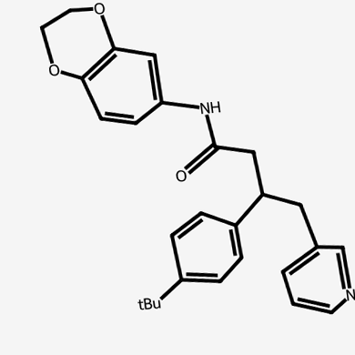 CC(C)(C)c1ccc(C(CC(=O)Nc2ccc3c(c2)OCCO3)Cc2cccnc2)cc1